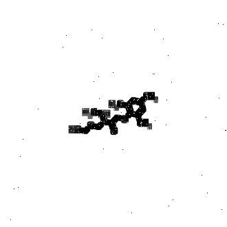 CNN(COCO)C(=O)COc1c(C)cc(C)cc1C